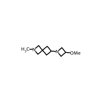 COC1CN(C2CC3(C2)CN(C)C3)C1